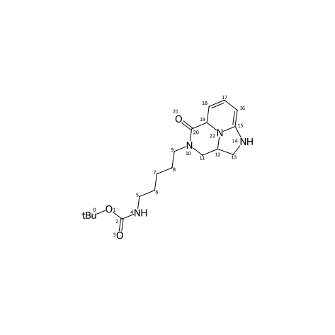 CC(C)(C)OC(=O)NCCCCCN1CC2CNC3=CC=CC(C1=O)N32